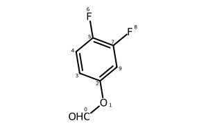 O=COc1ccc(F)c(F)c1